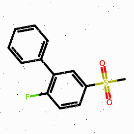 CS(=O)(=O)c1ccc(F)c(-c2ccccc2)c1